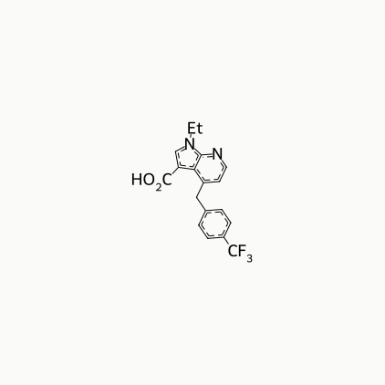 CCn1cc(C(=O)O)c2c(Cc3ccc(C(F)(F)F)cc3)ccnc21